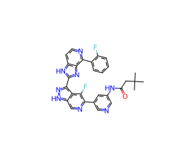 CC(C)(C)CC(=O)Nc1cncc(-c2ncc3[nH]nc(-c4nc5c(-c6ccccc6F)nccc5[nH]4)c3c2F)c1